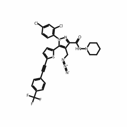 [N-]=[N+]=NCc1c(C(=O)NN2CCCCC2)nn(-c2ccc(Cl)cc2Cl)c1-c1ccc(C#Cc2ccc(C(F)(F)F)cc2)s1